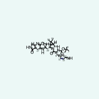 CC(C)(C)OC(=O)N[C@@H](CN/C=C\C=N)C(=O)N1C[C@H]2[C@@H]([C@H]1CC(=O)N[C@@H](C[C@@H]1CCNC1=O)C(N)=O)C2(C)C